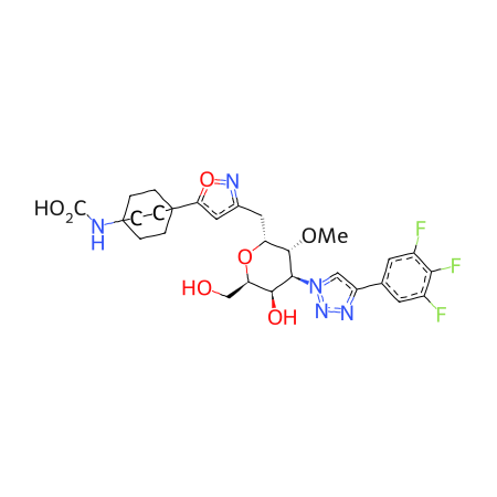 CO[C@@H]1[C@@H](n2cc(-c3cc(F)c(F)c(F)c3)nn2)[C@@H](O)[C@@H](CO)O[C@@H]1Cc1cc(C23CCC(NC(=O)O)(CC2)CC3)on1